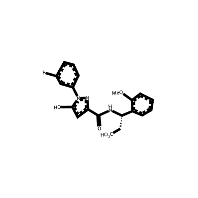 COc1ccccc1[C@H](CC(=O)O)NC(=O)c1cc(O)n(-c2cccc(F)c2)n1